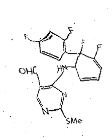 CSc1ncc(C=O)c(NC2C=CC=C(F)C2(F)c2ccc(F)cc2F)n1